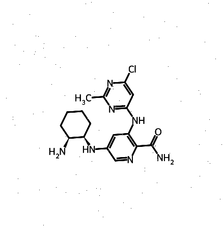 Cc1nc(Cl)cc(Nc2cc(N[C@@H]3CCCC[C@@H]3N)cnc2C(N)=O)n1